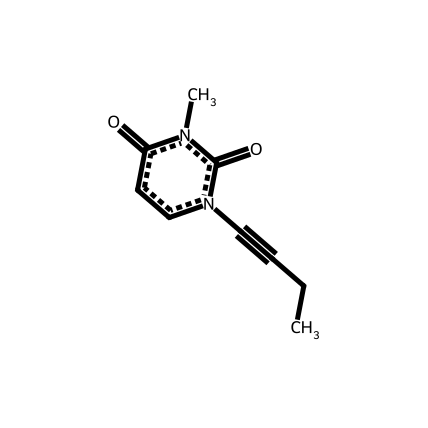 CCC#Cn1ccc(=O)n(C)c1=O